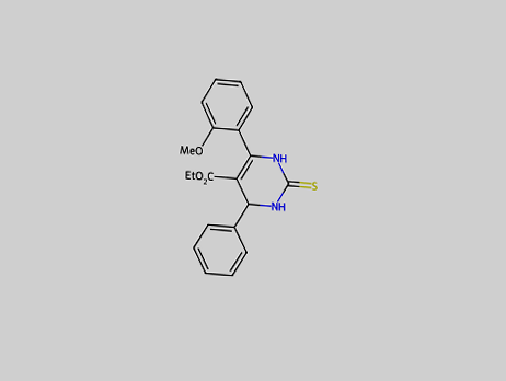 CCOC(=O)C1=C(c2ccccc2OC)NC(=S)NC1c1ccccc1